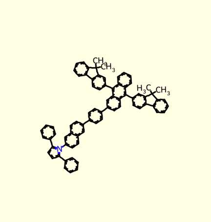 CC1(C)c2ccccc2-c2ccc(-c3c4ccccc4c(-c4ccc5c(c4)C(C)(C)c4ccccc4-5)c4cc(-c5ccc(-c6ccc7cc(-n8c(-c9ccccc9)ccc8-c8ccccc8)ccc7c6)cc5)ccc34)cc21